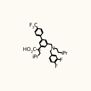 CC(C)CCN(Cc1cc(-c2ccc(C(F)(F)F)cc2)cc([C@@H](CC(C)C)C(=O)O)c1)Cc1ccc(F)c(F)c1